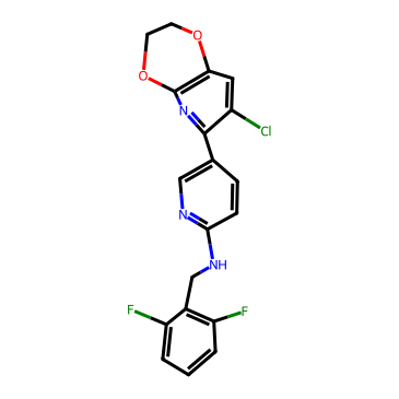 Fc1cccc(F)c1CNc1ccc(-c2nc3c(cc2Cl)OCCO3)cn1